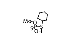 OP(=S)([O][Mo])SC1CCCCC1